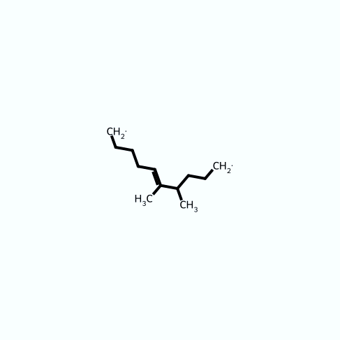 [CH2]CCC/C=C(\C)C(C)CC[CH2]